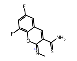 C/N=c1/oc2c(F)cc(F)cc2cc1C(N)=S